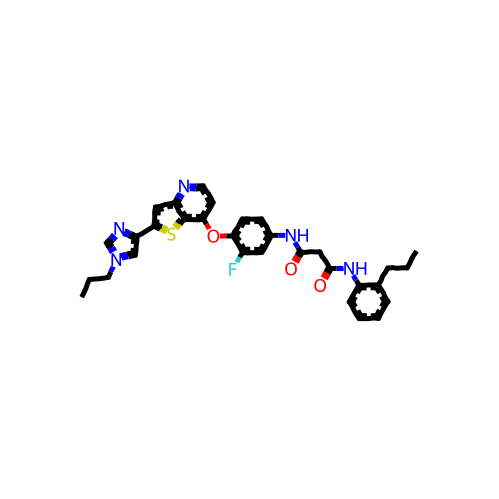 CCCc1ccccc1NC(=O)CC(=O)Nc1ccc(Oc2ccnc3cc(-c4cn(CCC)cn4)sc23)c(F)c1